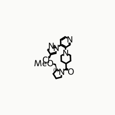 COC[C@@H]1CCCN1C(=O)C1CCN(c2cnccc2-n2cc(Cl)cn2)CC1